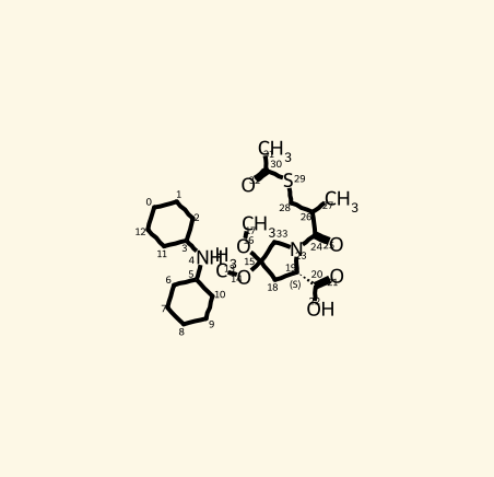 C1CCC(NC2CCCCC2)CC1.COC1(OC)C[C@@H](C(=O)O)N(C(=O)C(C)CSC(C)=O)C1